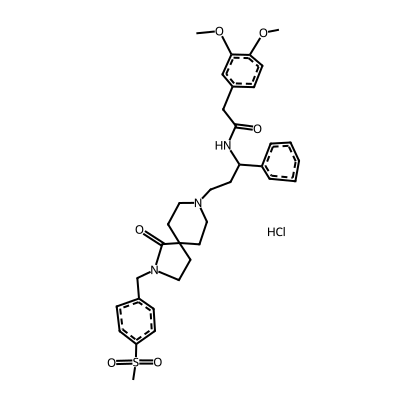 COc1ccc(CC(=O)NC(CCN2CCC3(CC2)CCN(Cc2ccc(S(C)(=O)=O)cc2)C3=O)c2ccccc2)cc1OC.Cl